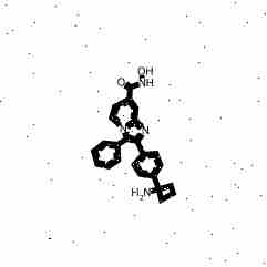 NC1(c2ccc(-c3nc4cc(C(=O)NO)ccn4c3-c3ccccc3)cc2)CCC1